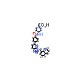 O=C(NC1CCN(C(=O)O)CC1)c1ccc(-c2ccc3nnn(Cc4cccc5cccnc45)c3n2)cc1